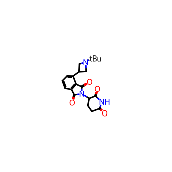 CC(C)(C)N1CC(c2cccc3c2C(=O)N(C2CCC(=O)NC2=O)C3=O)C1